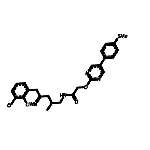 CSc1ccc(-c2cnc(OCC(=O)NCC(C)CC(=N)Cc3cccc(Cl)c3Cl)nc2)cc1